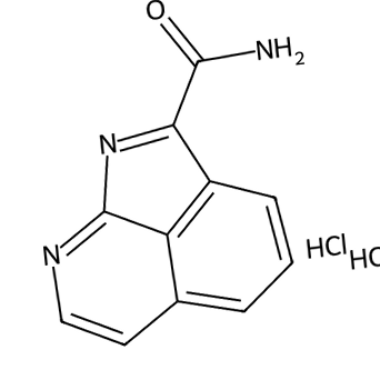 Cl.Cl.NC(=O)C1=Nc2nccc3cccc1c23